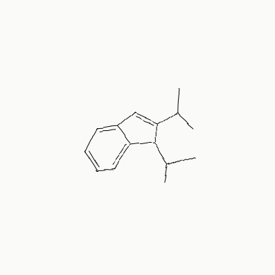 CC(C)C1=Cc2ccccc2C1C(C)C